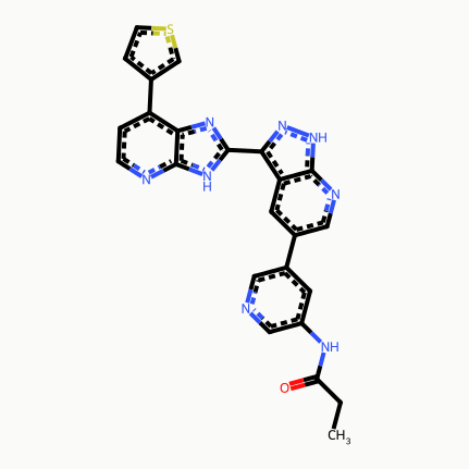 CCC(=O)Nc1cncc(-c2cnc3[nH]nc(-c4nc5c(-c6ccsc6)ccnc5[nH]4)c3c2)c1